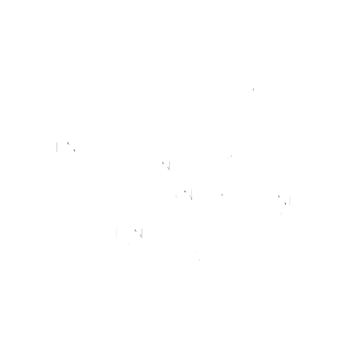 NCCNN(C(N)=S)c1c[nH]c2ccccc12